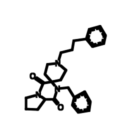 O=C1C2CCCN2C(=O)C2(CCN(CCCc3ccccc3)CC2)N1Cc1ccccc1